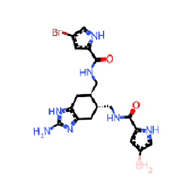 Bc1c[nH]c(C(=O)NC[C@@H]2Cc3nc(N)[nH]c3C[C@H]2CNC(=O)c2cc(Br)c[nH]2)c1